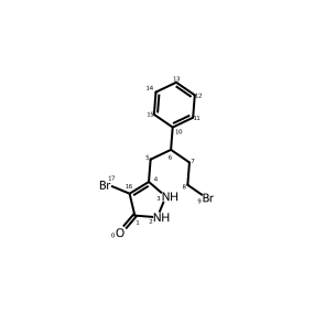 O=c1[nH][nH]c(CC(CCBr)c2ccccc2)c1Br